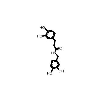 O=C(CCc1ccc(O)c(O)c1)NCc1ccc(O)c(O)c1